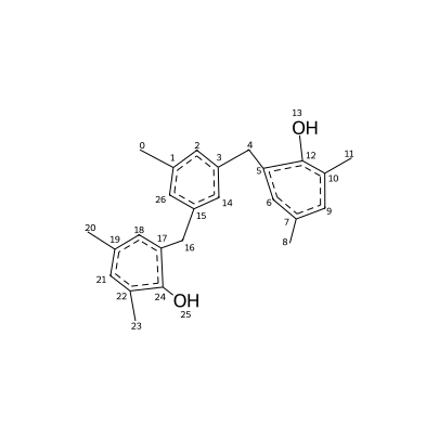 Cc1cc(Cc2cc(C)cc(C)c2O)cc(Cc2cc(C)cc(C)c2O)c1